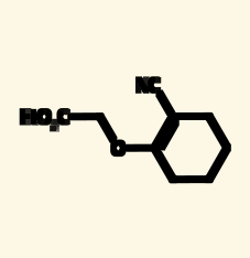 CCOC(=O)COC1=C(C#N)CCCC1